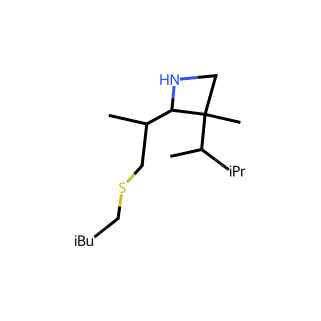 CCC(C)CSCC(C)C1NCC1(C)C(C)C(C)C